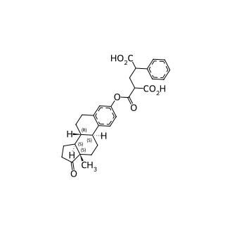 C[C@]12CC[C@@H]3c4ccc(OC(=O)C(CC(C(=O)O)c5ccccc5)C(=O)O)cc4CC[C@H]3[C@@H]1CCC2=O